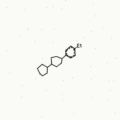 CCc1ccc(C2CCC(C3CC[CH]CC3)CC2)cc1